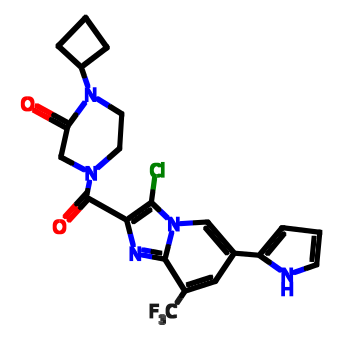 O=C(c1nc2c(C(F)(F)F)cc(-c3ccc[nH]3)cn2c1Cl)N1CCN(C2CCC2)C(=O)C1